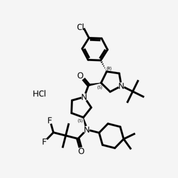 CC1(C)CCC(N(C(=O)C(C)(C)C(F)F)[C@H]2CCN(C(=O)[C@@H]3CN(C(C)(C)C)C[C@H]3c3ccc(Cl)cc3)C2)CC1.Cl